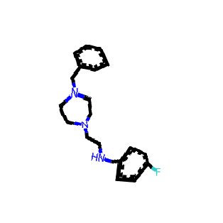 Fc1ccc(NCCN2CCN(Cc3ccccc3)CC2)cc1